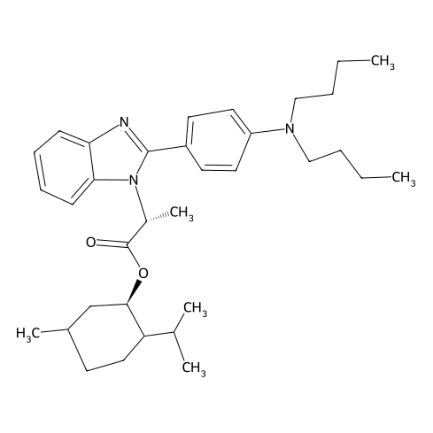 CCCCN(CCCC)c1ccc(-c2nc3ccccc3n2[C@H](C)C(=O)O[C@@H]2CC(C)CCC2C(C)C)cc1